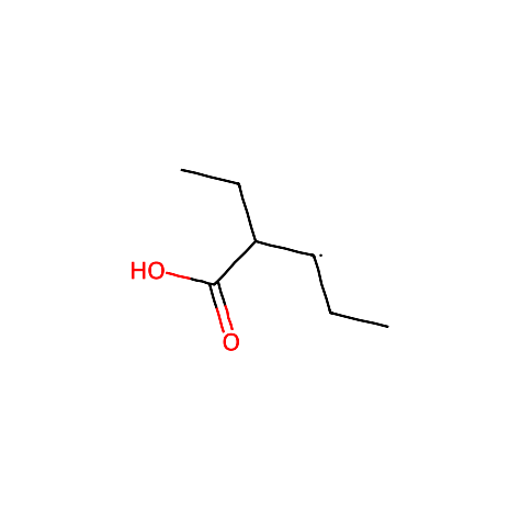 CC[CH]C(CC)C(=O)O